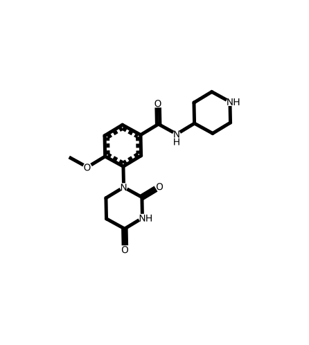 COc1ccc(C(=O)NC2CCNCC2)cc1N1CCC(=O)NC1=O